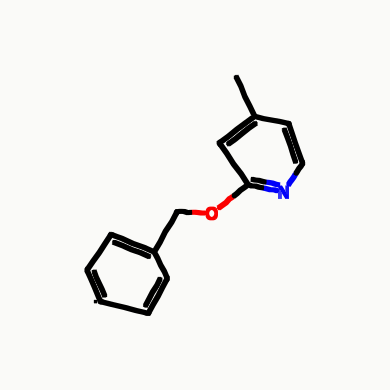 Cc1ccnc(OCc2cc[c]cc2)c1